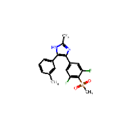 Cc1cccc(-c2[nH]c(C(F)(F)F)nc2-c2cc(F)c(S(C)(=O)=O)c(F)c2)c1